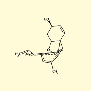 C=CCN1CCC23C=C[C@H](O)CC2Oc2c(OC)cc(C)c(c23)C1